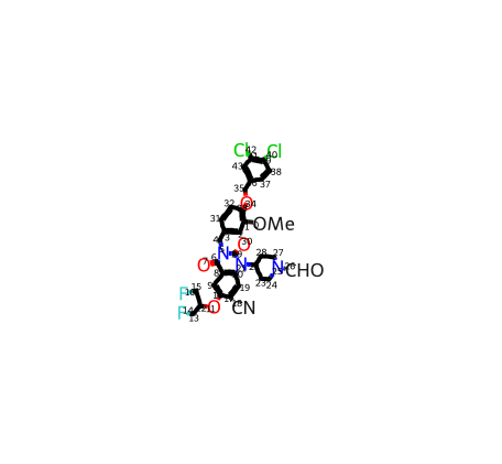 COc1cc(Cn2c(=O)c3cc(OC(CF)CF)c(C#N)cc3n(C3CCN(C=O)CC3)c2=O)ccc1OCc1ccc(Cl)c(Cl)c1